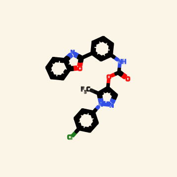 O=C(Nc1cccc(-c2nc3ccccc3o2)c1)Oc1cnn(-c2ccc(Cl)cc2)c1C(F)(F)F